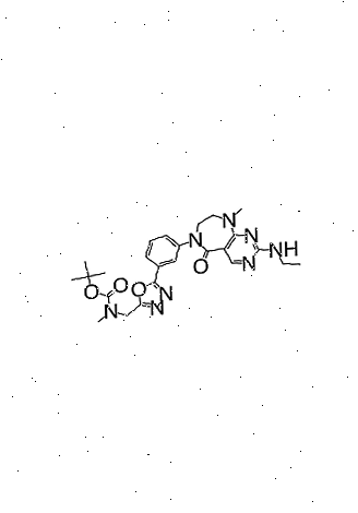 CCNc1ncc2c(n1)N(C)CCN(c1cccc(-c3nnc(CN(C)C(=O)OC(C)(C)C)o3)c1)C2=O